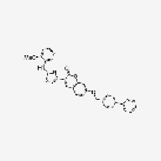 COc1ccccc1Nc1nc(-c2cc3ccc(OCc4ccc(-c5ccccc5)cc4)cc3oc2=O)cs1